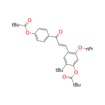 CCCOc1cc(OC(=O)C(C)(C)C)c(C(C)(C)C)cc1C=CC(=O)c1ccc(OC(=O)C(C)(C)C)cc1